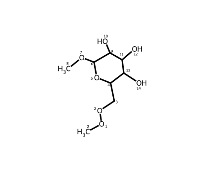 COOCC1OC(OC)C(O)C(O)C1O